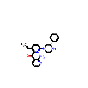 C=Cc1ccc(N2CCN[C@@H](C3C=CC=CC3)C2)nc1C(=O)c1cccnc1N